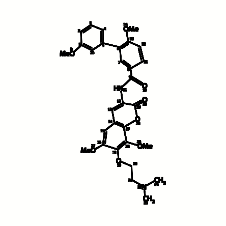 COc1cccc(-c2cc(C(=O)Nc3cc4cc(OC)c(OCCN(C)C)c(OC)c4oc3=O)ccc2OC)c1